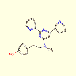 CN(CCc1ccc(O)cc1)c1cc(-c2cccnc2)nc(-c2ccccn2)n1